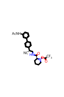 CC(=O)Nc1cccc(-c2ccc([C@@H](C#N)CNC(=O)[C@@H]3CCCCN3OC(=O)C(F)(F)F)cc2)c1